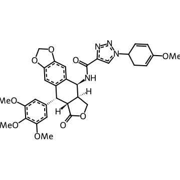 COC1=CCC(n2cc(C(=O)N[C@@H]3c4cc5c(cc4[C@@H](c4cc(OC)c(OC)c(OC)c4)[C@H]4C(=O)OC[C@@H]43)OCO5)nn2)C=C1